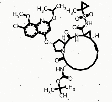 COc1c(Cl)ccc2c(O[C@@H]3C[C@H]4C(=O)N[C@]5(C(=O)NS(=O)(=O)C6(C)CC6)C[C@H]5/C=C\CCCCC[C@H](NC(=O)OC(C)(C)C)C(=O)N4C3)cc(OC(C)C)nc12